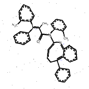 C/C(C(=O)N(C1=C=CC/C(c2ccccc2)=c2/cccc/c2=N/1)c1ccccc1C)=C(/c1ccccc1)c1ccccc1C